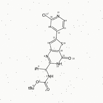 CC(C)C(NC(=O)OC(C)(C)C)c1nc2cc(-c3ccnc(Cl)c3)sc2c(=O)[nH]1